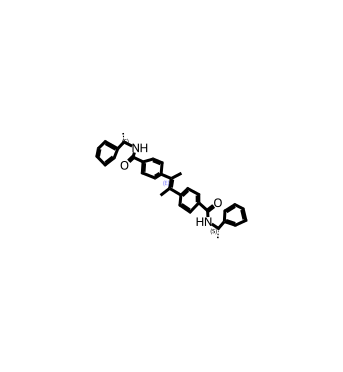 C/C(=C(/C)c1ccc(C(=O)N[C@@H](C)c2ccccc2)cc1)c1ccc(C(=O)N[C@@H](C)c2ccccc2)cc1